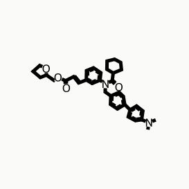 CN(C)c1ccc(-c2ccc(CN(C(=O)C3CCCCC3)c3cccc(C=CC(=O)OCC4CCCO4)c3)cc2)cc1